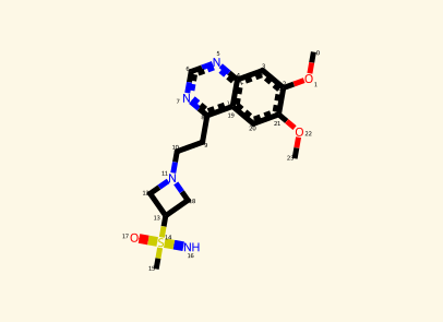 COc1cc2ncnc(CCN3CC(S(C)(=N)=O)C3)c2cc1OC